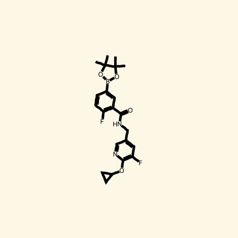 CC1(C)OB(c2ccc(F)c(C(=O)NCc3cnc(OC4CC4)c(F)c3)c2)OC1(C)C